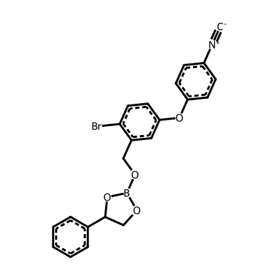 [C-]#[N+]c1ccc(Oc2ccc(Br)c(COB3OCC(c4ccccc4)O3)c2)cc1